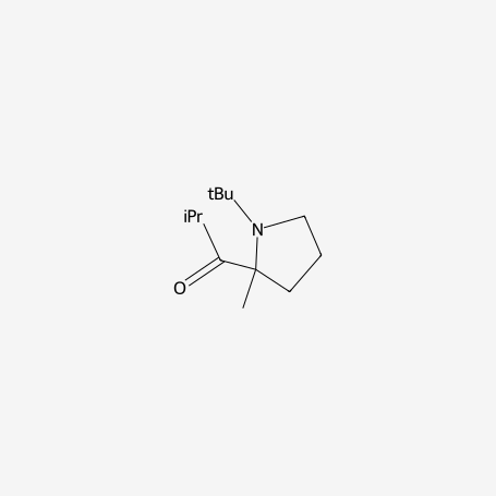 CC(C)C(=O)C1(C)CCCN1C(C)(C)C